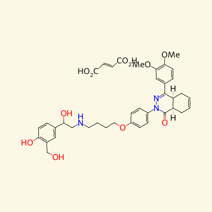 COc1ccc(C2=NN(c3ccc(OCCCCNCC(O)c4ccc(O)c(CO)c4)cc3)C(=O)[C@@H]3CC=CC[C@H]23)cc1OC.O=C(O)C=CC(=O)O